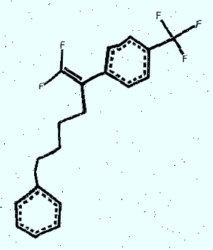 FC(F)=C(CCCCc1ccccc1)c1ccc(C(F)(F)F)cc1